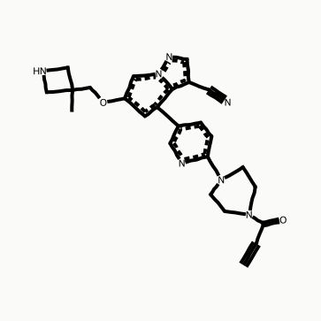 C#CC(=O)N1CCN(c2ccc(-c3cc(OCC4(C)CNC4)cn4ncc(C#N)c34)cn2)CC1